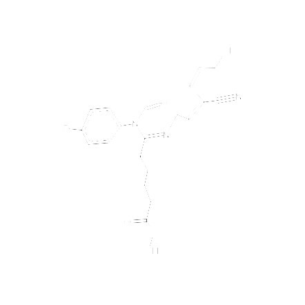 CC/C=C\C(C#N)=C/C/N=C(/CCCCC(=O)OC)N(C=O)c1ccc(F)cc1